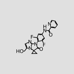 O=C(Nc1cc(F)c(N2C(=O)C3(CC3)n3c(CO)cnc32)c(F)c1)c1ccccn1